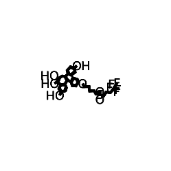 O=S(=O)(CCCCCOc1ccc(C2=C(c3ccc(O)cc3)CC(O)=C(O)c3cc(O)ccc32)cc1)CCCC(F)(F)C(F)(F)F